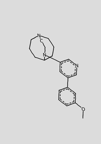 COc1cccc(-c2cncc(N3CCN4CCCC3CCC4)c2)c1